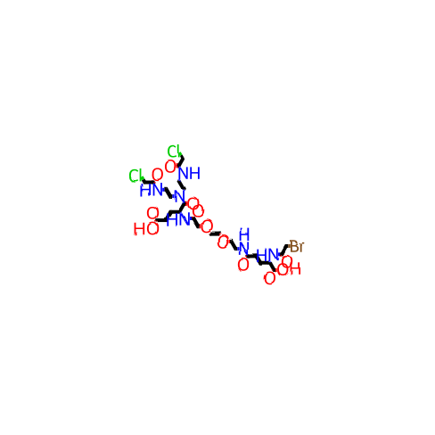 O=C(O)CCC(NC(=O)COCCOCCNC(=O)CCC(NC(=O)CBr)C(=O)O)C(=O)N(CCNC(=O)CCl)CCNC(=O)CCl